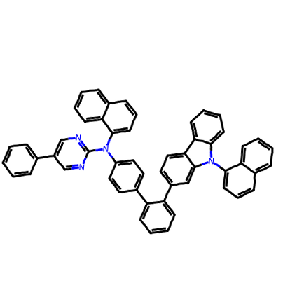 c1ccc(-c2cnc(N(c3ccc(-c4ccccc4-c4ccc5c6ccccc6n(-c6cccc7ccccc67)c5c4)cc3)c3cccc4ccccc34)nc2)cc1